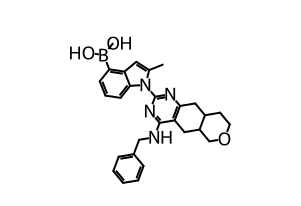 Cc1cc2c(B(O)O)cccc2n1-c1nc2c(c(NCc3ccccc3)n1)CC1COCCC1C2